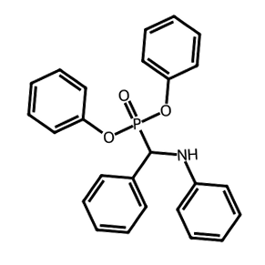 O=P(Oc1ccccc1)(Oc1ccccc1)C(Nc1ccccc1)c1ccccc1